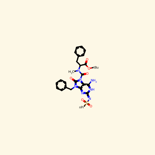 CCCS(=O)(=O)N=c1nc2c(c(N)[nH]1)n(C(=O)N(C)C(Cc1ccccc1)C(=O)OC(C)(C)C)c(=O)n2Cc1ccccc1